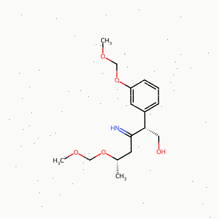 COCOc1cccc([C@H](CO)C(=N)C[C@H](C)OCOC)c1